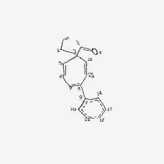 CCC1(C=O)C=CC=C(c2ccccc2)C=C1